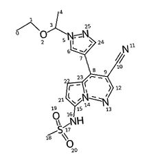 CCOC(C)n1cc(-c2c(C#N)cnn3c(NS(C)(=O)=O)ccc23)cn1